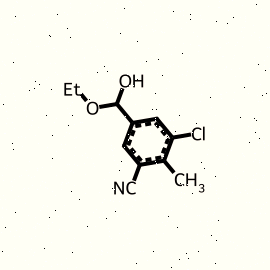 CCOC(O)c1cc(Cl)c(C)c(C#N)c1